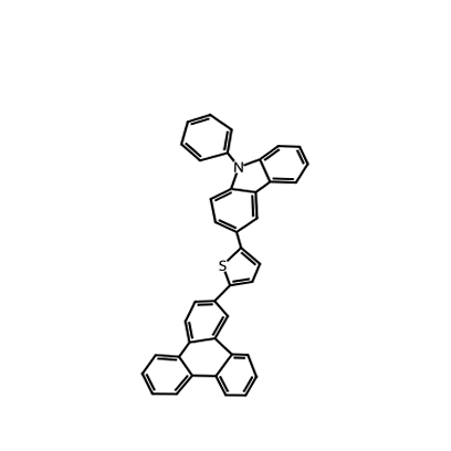 c1ccc(-n2c3ccccc3c3cc(-c4ccc(-c5ccc6c7ccccc7c7ccccc7c6c5)s4)ccc32)cc1